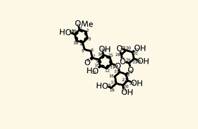 COc1ccc(CCC(=O)c2c(O)cc(OC3CC(CO)C(O)C(O)C3OC3OC4OC4C(O)C3O)cc2O)cc1O